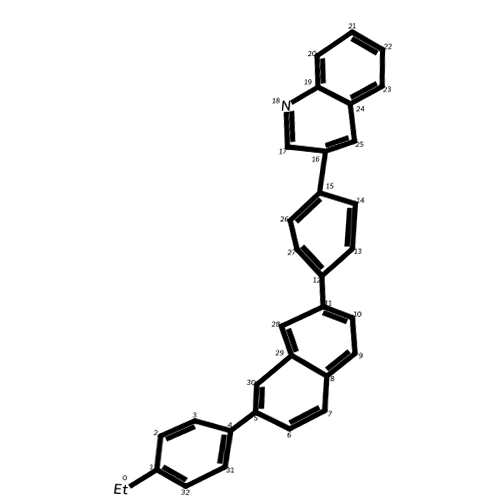 CCc1ccc(-c2ccc3ccc(-c4ccc(-c5cnc6ccccc6c5)cc4)cc3c2)cc1